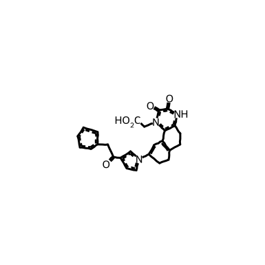 O=C(O)Cn1c2c([nH]c(=O)c1=O)CCC1=C2C=C(n2ccc(C(=O)Cc3ccccc3)c2)CC1